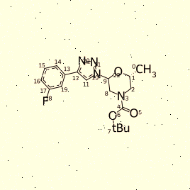 C[C@@H]1CN(C(=O)OC(C)(C)C)CC(n2cc(-c3cccc(F)c3)nn2)O1